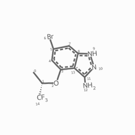 C[C@H](Oc1cc(Br)cc2[nH]nc(N)c12)C(F)(F)F